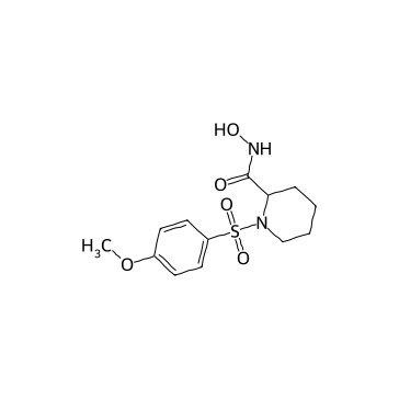 COc1ccc(S(=O)(=O)N2CCCCC2C(=O)NO)cc1